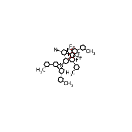 Cc1cccc(-c2ccc3c(c2)c2cc(-c4cccc(C)c4)ccc2n3-c2ccc(-c3cc(C(F)(F)F)cc(C(F)(F)F)c3)c(-c3cc(C#N)ccc3-n3c4ccc(-c5cccc(C)c5)cc4c4cc(-c5cccc(C)c5)ccc43)c2)c1